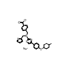 CC1CCC(Oc2ccc(-c3csc(N(Cc4ccc(C(=O)[O-])cc4)Cc4cccs4)n3)cc2)CC1.[Na+]